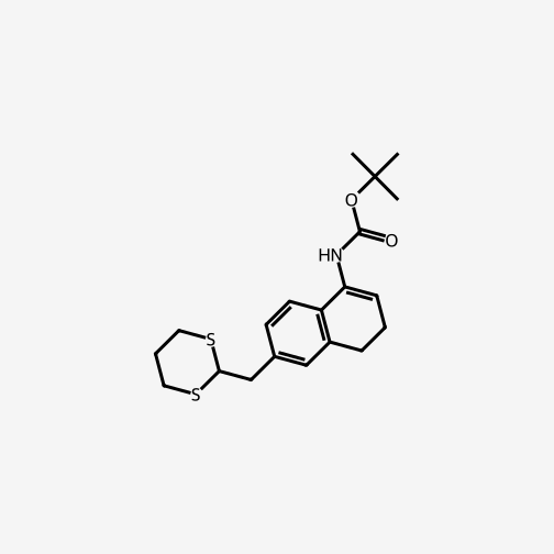 CC(C)(C)OC(=O)NC1=CCCc2cc(CC3SCCCS3)ccc21